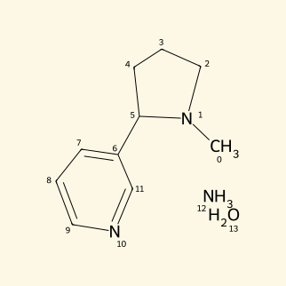 CN1CCCC1c1cccnc1.N.O